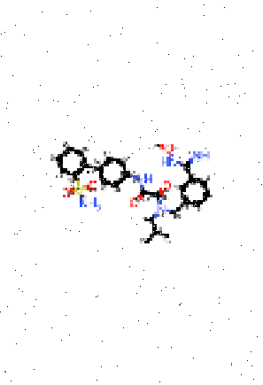 CONC(=N)c1cccc(CN(CC(C)C)C(=O)C(=O)Nc2ccc(-c3ccccc3S(N)(=O)=O)cc2)c1